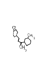 C=C(CCC1CCC2OC2C1)C1CCCC(C)C1